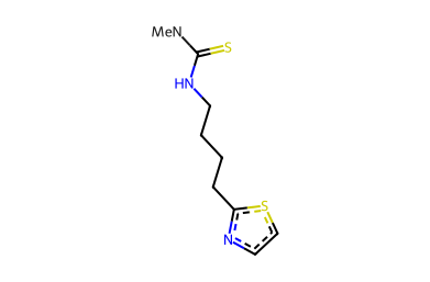 CNC(=S)NCCCCc1nccs1